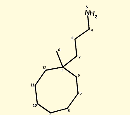 CC1(CCCN)CCCCCCC1